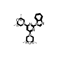 C[C@@H]1CN(c2cc(N3C[C@@H](C)O[C@@H](C)C3)nc(-n3cnc4ccccc43)n2)C[C@H](C)O1